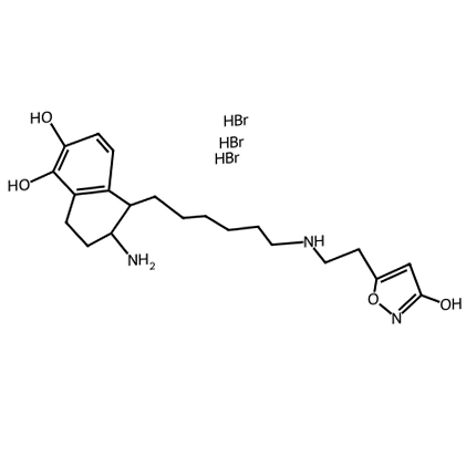 Br.Br.Br.NC1CCc2c(ccc(O)c2O)C1CCCCCCNCCc1cc(O)no1